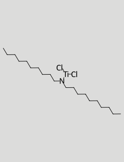 CCCCCCCCCC[N](CCCCCCCCCC)[Ti]([Cl])[Cl]